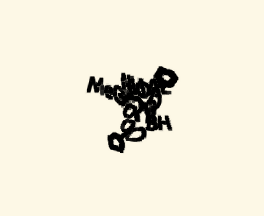 B=BO[C@H]1C(COC(=O)c2ccccc2)O[C@@H](OC)[C@@H](NC(C)=O)C1OC(=O)c1ccccc1